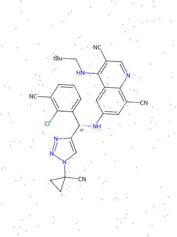 CC(C)(C)CNc1c(C#N)cnc2c(C#N)cc(N[C@H](c3cn(C4(C#N)CC4)nn3)c3cccc(C#N)c3Cl)cc12